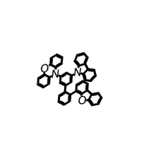 c1ccc2c(c1)Oc1ccccc1N2c1cc(-c2ccccc2-c2cccc3c2oc2ccccc23)cc(-n2c3ccccc3c3ccccc32)c1